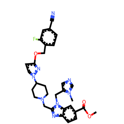 COC(=O)c1ccc2nc(CN3CCC(n4ccc(OCc5ccc(C#N)cc5F)n4)CC3)n(Cc3cncn3C)c2c1